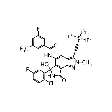 CC(C)[Si](C#Cc1c2cc(NC(=O)c3cc(F)cc(C(F)(F)F)c3)c3c(c2nn1C)C(=O)NC3(O)c1cc(F)ccc1Cl)(C(C)C)C(C)C